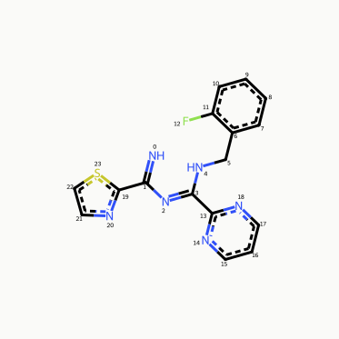 N=C(/N=C(\NCc1ccccc1F)c1ncccn1)c1nccs1